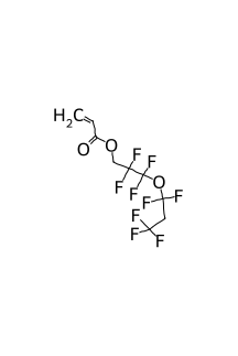 C=CC(=O)OCC(F)(F)C(F)(F)OC(F)(F)CC(F)(F)F